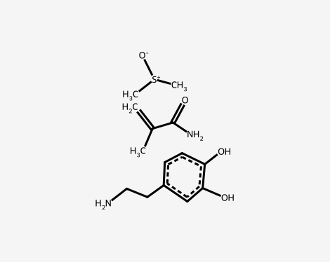 C=C(C)C(N)=O.C[S+](C)[O-].NCCc1ccc(O)c(O)c1